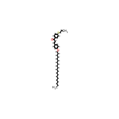 CCCCCCCCCCCCCCCCCCCCCOc1ccc(C=CC(=O)c2ccc(SCCC)cc2)cc1